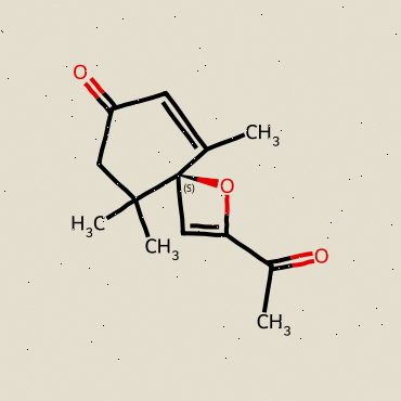 CC(=O)C1=C[C@@]2(O1)C(C)=CC(=O)CC2(C)C